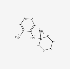 Cc1ccccc1NC1(N)CCCCC1